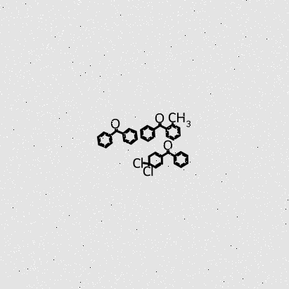 Cc1ccccc1C(=O)c1ccccc1.O=C(C1=CCC(Cl)(Cl)C=C1)c1ccccc1.O=C(c1ccccc1)c1ccccc1